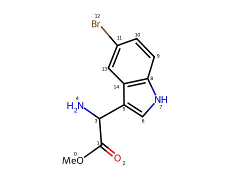 COC(=O)C(N)c1c[nH]c2ccc(Br)cc12